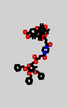 CC(C)C12O[C@H]1[C@@H]1O[C@]13[C@]1(O[C@H]1C[C@H]1C4=C(CC[C@@]13C)C(=O)OC4)[C@@H]2OC(=O)CCC(=O)N1CCN(C(=O)CCC(=O)OC[C@H]2OC(OCc3ccccc3)[C@H](OCc3ccccc3)[C@@H](OCc3ccccc3)[C@@H]2C)CC1